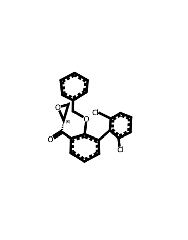 O=C(c1cccc(-c2c(Cl)cccc2Cl)c1OCc1ccccc1)[C@H]1CO1